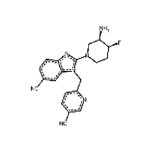 N#Cc1ccc(Cn2c(N3CC[C@H](F)[C@H](N)C3)nc3ccc(C#N)cc32)nc1